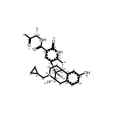 CC(=O)[C@H](C)NC(=O)c1cc2c([nH]c1=O)C[C@]13CCN(CC4CC4)[C@H](Cc4ccc(O)cc41)[C@@H]3C2